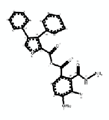 COc1ccc(C(=O)OC(=O)c2occ(-c3ccccc3)c2-c2ccccc2)c(C(=O)NN)c1Br